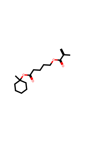 C=C(C)C(=O)OCCCCC(=O)OC1(C)CCCCC1